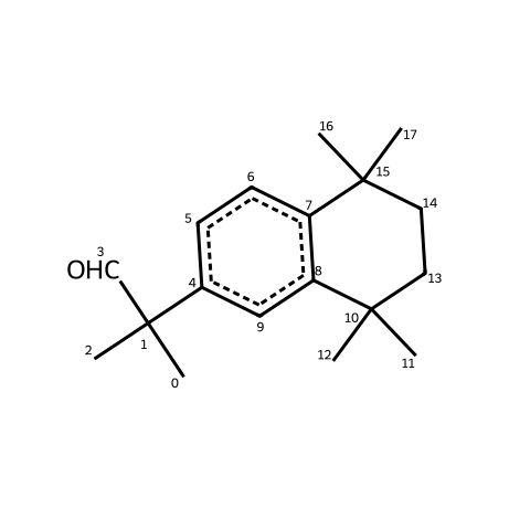 CC(C)(C=O)c1ccc2c(c1)C(C)(C)CCC2(C)C